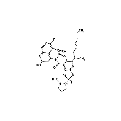 [2H]C([2H])(Oc1nc(C(C)CCCCCC)c2cnn(-c3cc(O)cc4ccc(F)c(C#C)c34)c(=O)c2n1)[C@@H]1CCCN1C